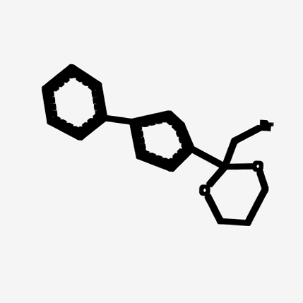 BrCC1(c2ccc(-c3ccccc3)cc2)OCCCO1